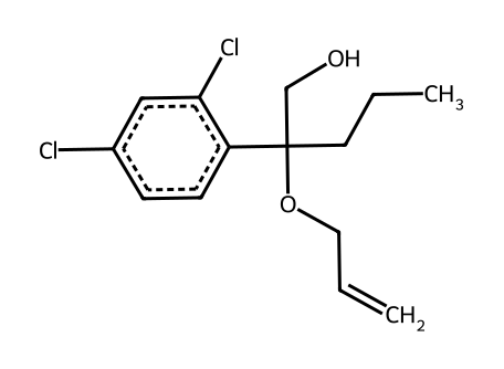 C=CCOC(CO)(CCC)c1ccc(Cl)cc1Cl